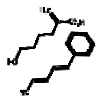 C=C(CCCCO)C(=O)O.N#CC=CC=Cc1ccccc1